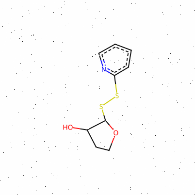 OC1CCOC1SSc1ccccn1